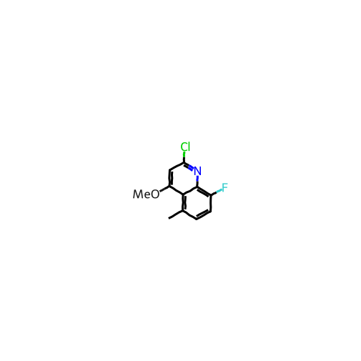 COc1cc(Cl)nc2c(F)ccc(C)c12